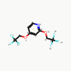 FC(F)(F)COc1ccnc(OCC(F)(F)F)c1